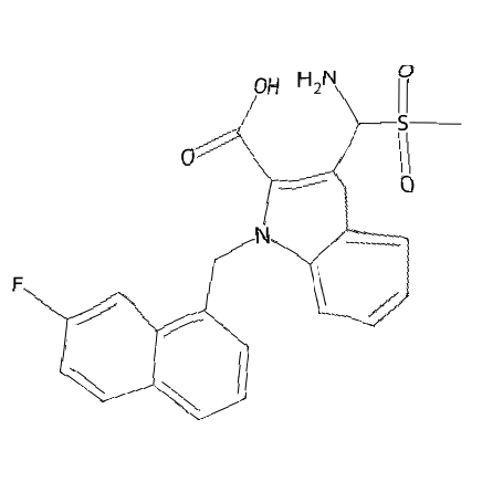 CS(=O)(=O)C(N)c1c(C(=O)O)n(Cc2cccc3ccc(F)cc23)c2ccccc12